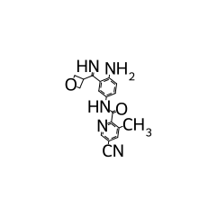 Cc1cc(C#N)cnc1C(=O)Nc1ccc(N)c(C(=N)C2COC2)c1